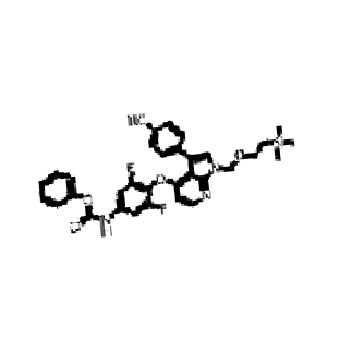 C[Si](C)(C)CCOCn1cc(-c2ccc(C#N)cc2)c2c(Oc3c(F)cc(NC(=O)Oc4ccccc4)cc3F)ccnc21